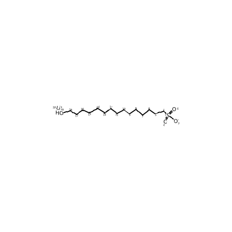 O=S(=O)([O-])CCCCCCCCCCCCCCCO.[Li+]